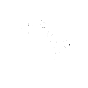 CCOC1CCC(n2cc(NC(=O)c3csc(-c4cnn(COC(=O)[C@@H](N)C(C)(C)C)c4)n3)c(-c3nc(F)ccc3F)n2)CC1.Cl